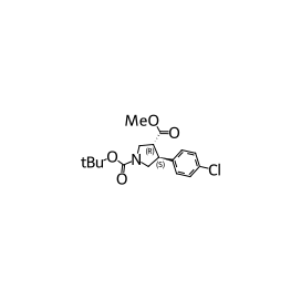 COC(=O)[C@H]1CN(C(=O)OC(C)(C)C)C[C@@H]1c1ccc(Cl)cc1